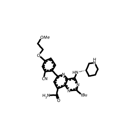 COCCOc1ccc(-c2cc(C(N)=O)c3nc(C(C)(C)C)nc(N[C@H]4CCCNC4)c3n2)c(C#N)c1